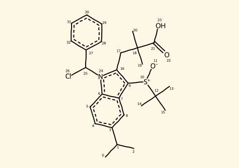 CC(C)c1ccc2c(c1)c([S+]([O-])C(C)(C)C)c(CC(C)(C)C(=O)O)n2C(Cl)c1ccccc1